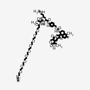 CC[C@@]1(O)C(=O)OCc2c1cc1n(c2=O)Cc2c-1nc1cc(F)c(C)c3c1c2[C@@H](NC(=O)OCc1ccc(NC(=O)[C@H](CCCCNC)NC(=O)[C@@H](NC(=O)CCOCCOCCOCCOCCOCCOCCOCCOCCOCCN=[N+]=[N-])C(C)C)cc1)CC3